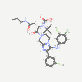 CCCNC(=O)C[C@@H](C(=O)N1CCn2c(nc(-c3cccc(F)c3)c2Nc2ccc(Cl)c(F)c2)C1)N(C(=O)O)C(C)(C)C